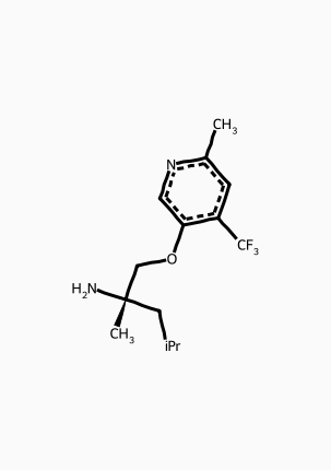 Cc1cc(C(F)(F)F)c(OC[C@@](C)(N)CC(C)C)cn1